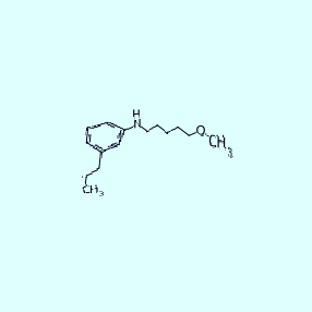 C[CH]Cc1cccc(NCCCCCOC)c1